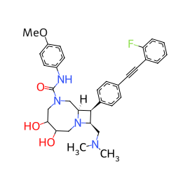 COc1ccc(NC(=O)N2CC(O)C(O)CN3[C@H](CN(C)C)[C@H](c4ccc(C#Cc5ccccc5F)cc4)[C@@H]3C2)cc1